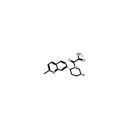 Cc1ccc2ccc([C@H]3CC[C@H](C)CN3C(=O)C(N)=O)cc2n1